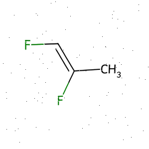 CC(F)=CF